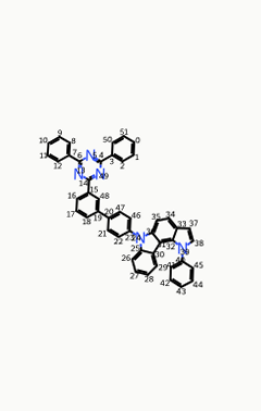 c1ccc(-c2nc(-c3ccccc3)nc(-c3cccc(-c4ccc(-n5c6ccccc6c6c7c(ccc65)ccn7-c5ccccc5)cc4)c3)n2)cc1